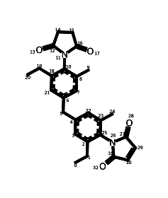 CCc1cc(Cc2cc(C)c(N3C(=O)CCC3=O)c(CC)c2)cc(C)c1N1C(=O)C=CC1=O